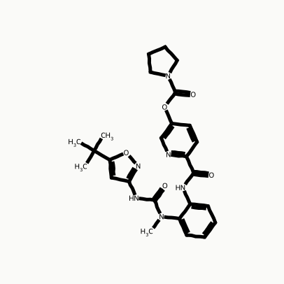 CN(C(=O)Nc1cc(C(C)(C)C)on1)c1ccccc1NC(=O)c1ccc(OC(=O)N2CCCC2)cn1